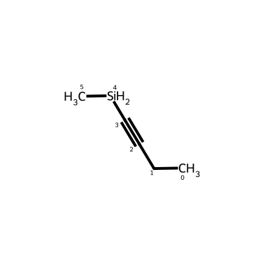 CCC#C[SiH2]C